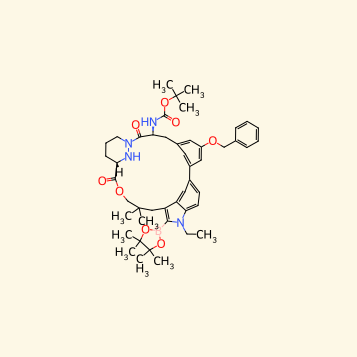 CCn1c(B2OC(C)(C)C(C)(C)O2)c2c3cc(ccc31)-c1cc(cc(OCc3ccccc3)c1)C[C@H](NC(=O)OC(C)(C)C)C(=O)N1CCC[C@H](N1)C(=O)OCC(C)(C)C2